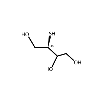 OCC(O)[C@H](S)CO